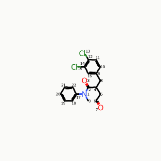 CN(C(=O)C(CC=O)Cc1ccc(Cl)c(Cl)c1)c1ccccc1